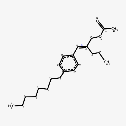 CCCCCCCCc1ccc(/C=C(\CCC)COC(C)=O)cc1